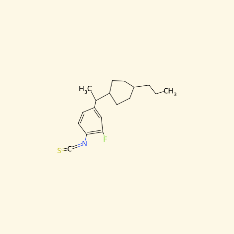 CCCC1CCC(C(C)c2ccc(N=C=S)c(F)c2)CC1